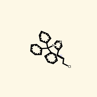 ClC/C=C/c1cncn1C(c1ccccc1)(c1ccccc1)c1ccccc1